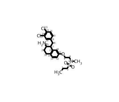 CCCS(=O)(=O)N(C)CCOc1ccc2c(c1)C(Cc1ccc(Cl)c(Cl)c1)C(N)CC2